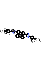 C=C(/N=C\C(=C/C)c1ccc2c(c1)C1(c3ccccc3-c3ccccc31)c1cc(-c3cnc(-c4ccc(C(C)(C)C)cc4)nc3)ccc1-2)c1ccc(C(C)(C)C)cc1